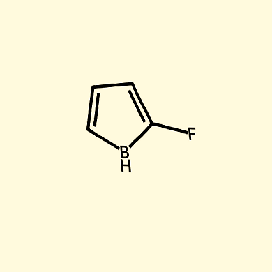 FC1=CC=CB1